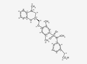 Cc1cc(S(=O)(=O)N(C)c2cccc(CC(=O)O)c2)c(C)cc1OC[C@@H]1CN(C)c2ccccc2O1